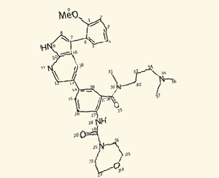 COc1ccccc1-c1c[nH]c2ncc(-c3ccc(NC(=O)N4CCOCC4)c(C(=O)N(C)CCCN(C)C)c3)cc12